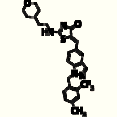 Cc1ccc(Cn2ncc3cc(/C=C4\SC(NCCC5CCOCC5)=NC4=O)ccc32)c(C(F)(F)F)c1